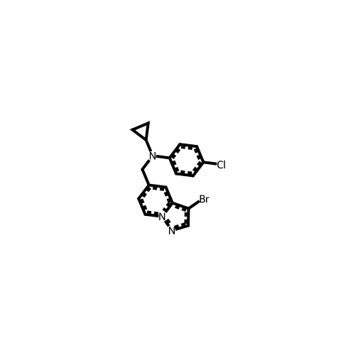 Clc1ccc(N(Cc2ccn3ncc(Br)c3c2)C2CC2)cc1